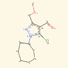 COCc1nn(C2CCCCCC2)c(Cl)c1C=O